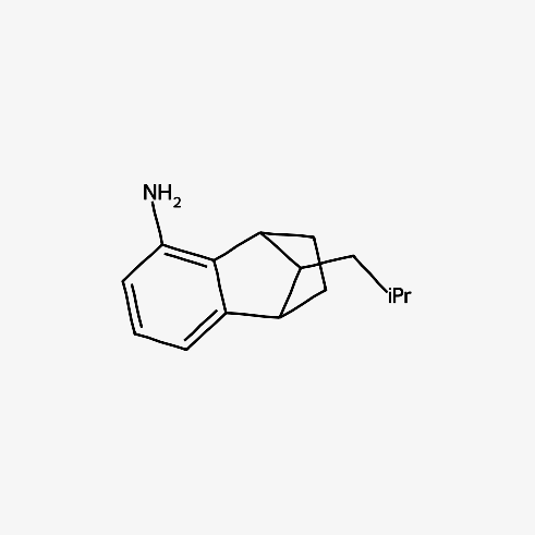 CC(C)CC1C2CCC1c1c(N)cccc12